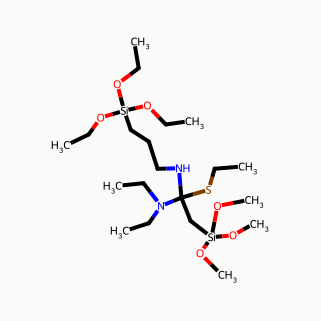 CCO[Si](CCCNC(C[Si](OC)(OC)OC)(SCC)N(CC)CC)(OCC)OCC